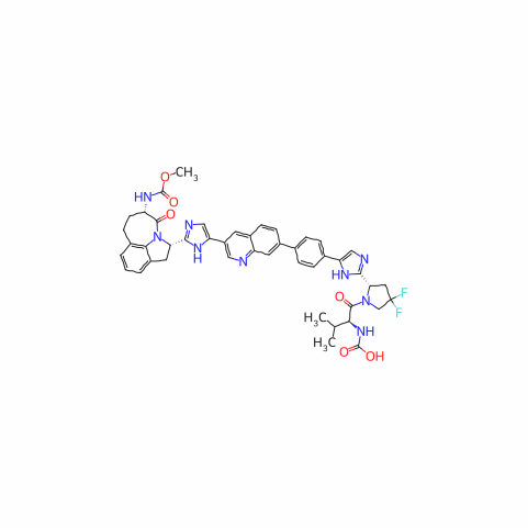 COC(=O)N[C@H]1CCc2cccc3c2N(C1=O)[C@H](c1ncc(-c2cnc4cc(-c5ccc(-c6cnc([C@@H]7CC(F)(F)CN7C(=O)[C@@H](NC(=O)O)C(C)C)[nH]6)cc5)ccc4c2)[nH]1)C3